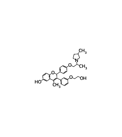 CC1=C(c2cccc(OCCO)c2)C(c2ccc(OCC(C)N3CCC(C)C3)cc2)Oc2ccc(O)cc21